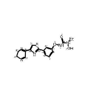 CCN(O)C(=O)NOc1cccc(-c2nc(C3=CCCC=C3)co2)c1